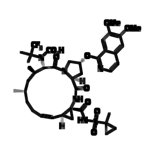 COc1cc2ccnc(O[C@@H]3C[C@H]4C(=O)N[C@]5(C(=O)NS(=O)(=O)C6(C)CC6)C[C@H]5C=CCC[C@H](C)C[C@@H](C)[C@H](N(C(=O)O)C(C)(C)C(F)(F)F)C(=O)N4C3)c2cc1OC